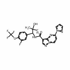 CC(C)(O)C(NC(=O)c1cnn2ccc(-n3cccn3)nc12)c1ccc(OC(F)(F)F)c(F)c1